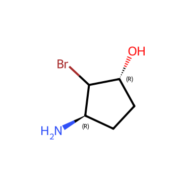 N[C@@H]1CC[C@@H](O)C1Br